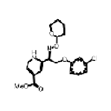 COC(=O)C1=CCNC(/C(COc2cccc(Cl)c2)=N/OC2CCCCO2)=C1